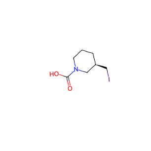 O=C(O)N1CCC[C@@H](CI)C1